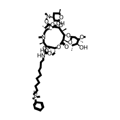 CC[C@H]1OC(=O)[C@H](C)[C@@H](O[C@H]2C[C@@](C)(OC)[C@@H](O)[C@H](C)O2)[C@H](C)[C@@H](O[C@@H]2O[C@H](C)C[C@H](N(C)C)[C@H]2OC(C)=O)[C@](C)(O)C[C@@H](C)CN(C)[C@H](C)[C@@H](OC(=O)NCCCCCCCCCC[PH](C)(C)c2ccccc2)[C@]1(C)O